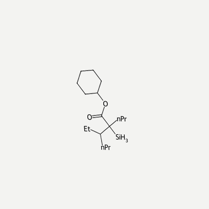 CCCC(CC)C([SiH3])(CCC)C(=O)OC1CCCCC1